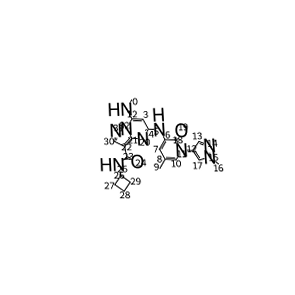 CNc1cc(Nc2cc(C)cn(-c3cnn(C)c3)c2=O)nc2c(C(=O)NC3CCC3)cnn12